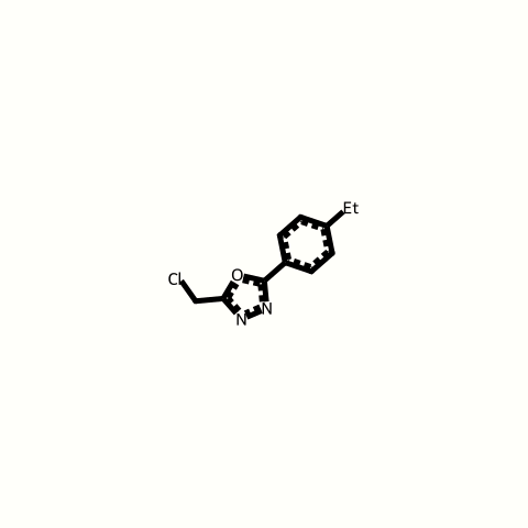 CCc1ccc(-c2nnc(CCl)o2)cc1